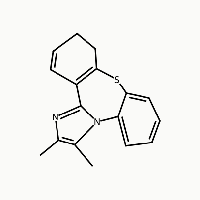 Cc1nc2n(c1C)-c1ccccc1SC1=C2C=CCC1